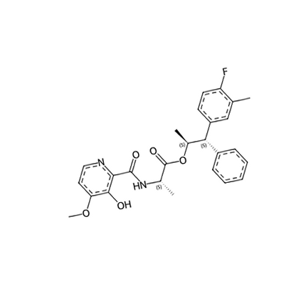 COc1ccnc(C(=O)N[C@@H](C)C(=O)O[C@@H](C)[C@@H](c2ccccc2)c2ccc(F)c(C)c2)c1O